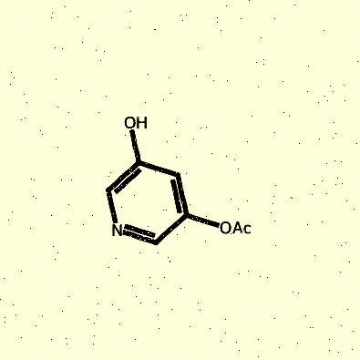 CC(=O)Oc1cncc(O)c1